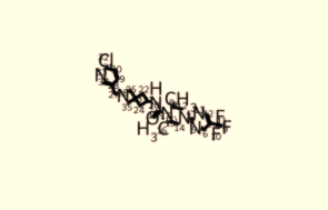 C[C@@H]1CN(c2ncc(C(F)(F)F)cn2)C[C@H](C)N1C(=O)NC1CC2(C1)CN(Cc1ccc(Cl)nc1)C2